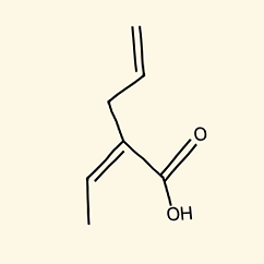 C=CCC(=CC)C(=O)O